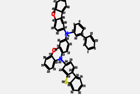 c1ccc(-c2cccc(N(c3ccc4c(c3)Oc3ccccc3N4c3ccc4c(c3)sc3ccccc34)c3ccc4oc5ccccc5c4c3)c2)cc1